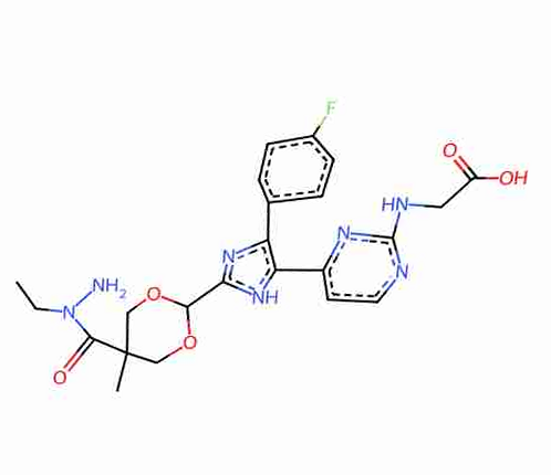 CCN(N)C(=O)C1(C)COC(c2nc(-c3ccc(F)cc3)c(-c3ccnc(NCC(=O)O)n3)[nH]2)OC1